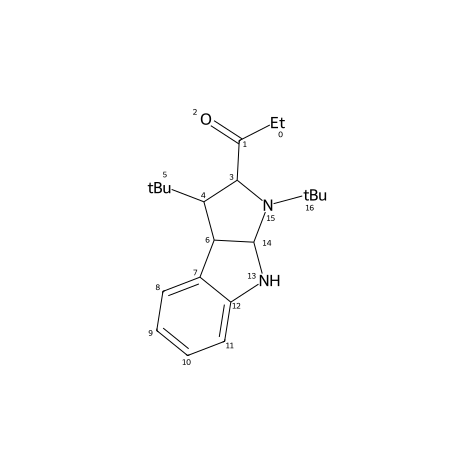 CCC(=O)C1C(C(C)(C)C)C2c3ccccc3NC2N1C(C)(C)C